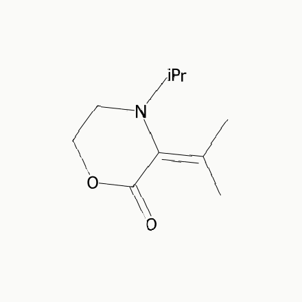 CC(C)=C1C(=O)OCCN1C(C)C